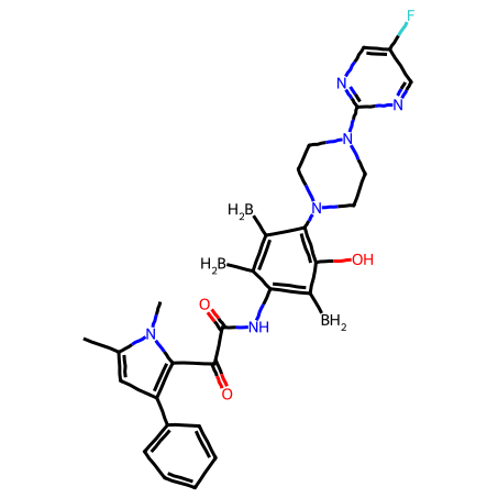 Bc1c(B)c(N2CCN(c3ncc(F)cn3)CC2)c(O)c(B)c1NC(=O)C(=O)c1c(-c2ccccc2)cc(C)n1C